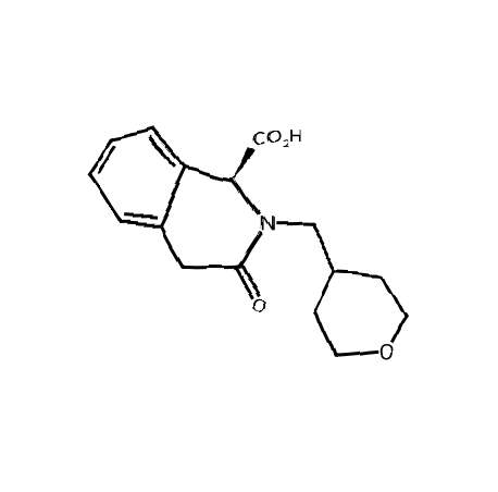 O=C(O)[C@@H]1c2ccccc2CC(=O)N1CC1CCOCC1